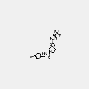 Cc1ccc(CNC(=O)N2CCc3cc(-c4noc(C(F)(F)F)n4)sc3C2)cc1